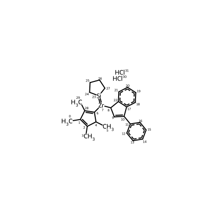 CC1=C(C)C(C)[C]([Zr]([CH]2C=C(c3ccccc3)c3ccccc32)=[Si]2CCCC2)=C1C.Cl.Cl